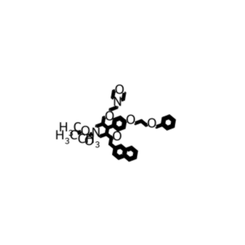 CC(C)(C)OC(=O)N1CC(COCCN2CCOCC2)C(c2ccc(OCCCOCc3ccccc3)cc2)C(C(=O)Cc2ccc3ccccc3c2)C1